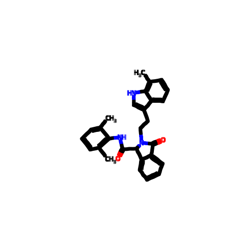 Cc1cccc(C)c1NC(=O)C1c2ccccc2C(=O)N1CCc1c[nH]c2c(C)cccc12